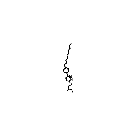 CCCCCCCCCCc1ccc(-c2ccc(OCC(C)CC)nn2)cc1